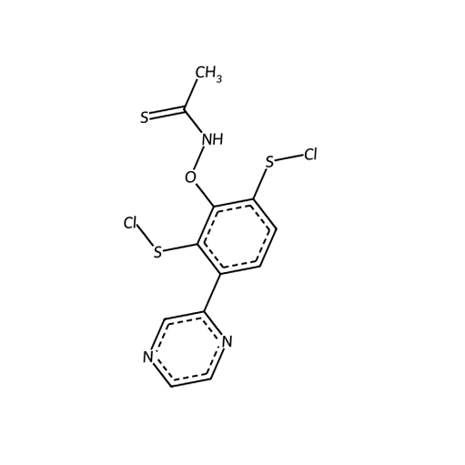 CC(=S)NOc1c(SCl)ccc(-c2cnccn2)c1SCl